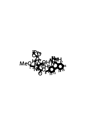 COCc1nc(C(=O)OCc2ccc(-c3ccccc3-c3nnn[nH]3)cc2)c(C(C)(C)O)n1COC(=O)OC(C)C